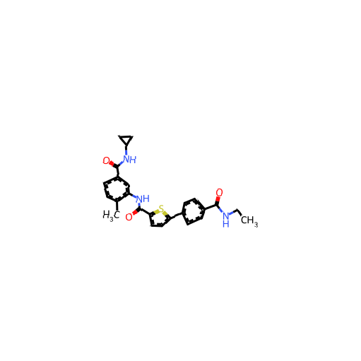 CCNC(=O)c1ccc(-c2ccc(C(=O)Nc3cc(C(=O)NC4CC4)ccc3C)s2)cc1